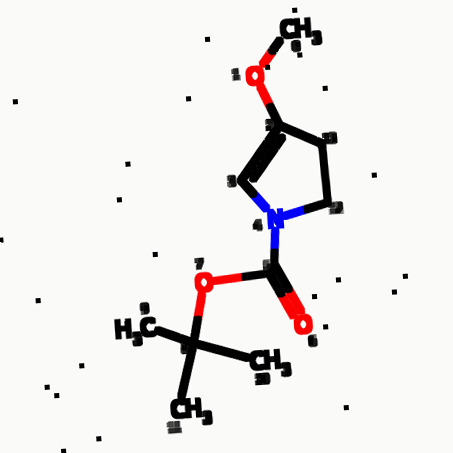 COC1=CN(C(=O)OC(C)(C)C)CC1